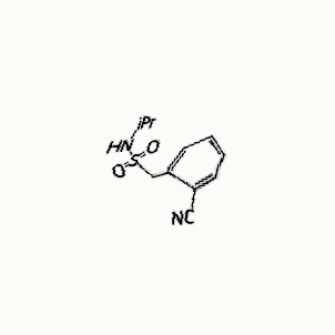 CC(C)NS(=O)(=O)Cc1ccccc1C#N